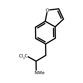 CNC(Cc1ccc2occc2c1)C(Cl)(Cl)Cl